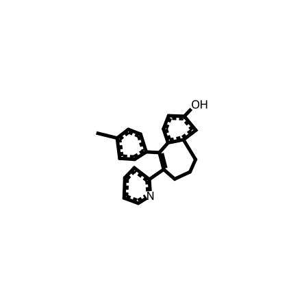 Cc1ccc(C2=C(c3ccccn3)CCCc3cc(O)ccc32)cc1